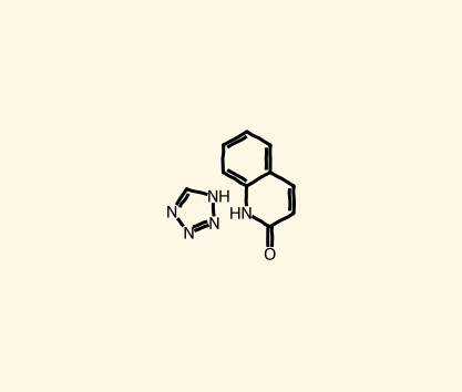 O=c1ccc2ccccc2[nH]1.c1nnn[nH]1